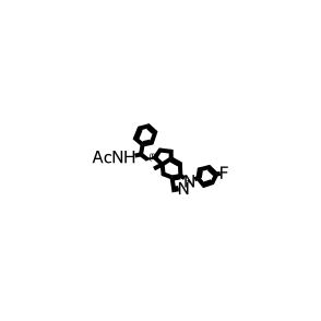 CC(=O)NC(C[C@H]1CCC2=Cc3c(cnn3-c3ccc(F)cc3)CC21C)c1ccccc1